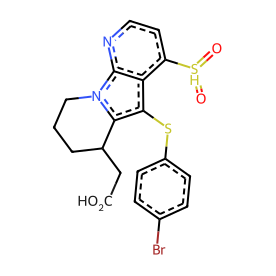 O=C(O)CC1CCCn2c1c(Sc1ccc(Br)cc1)c1c([SH](=O)=O)ccnc12